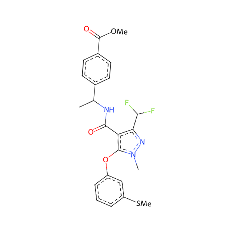 COC(=O)c1ccc(C(C)NC(=O)c2c(C(F)F)nn(C)c2Oc2cccc(SC)c2)cc1